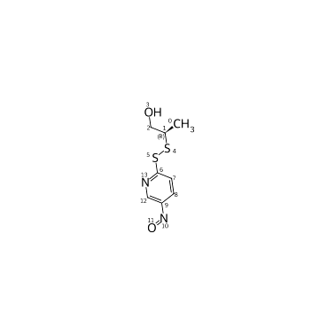 C[C@H](CO)SSc1ccc(N=O)cn1